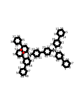 c1ccc(-c2ccc(N(c3ccc(-c4ccccc4)cc3)c3ccc(-c4ccc(N(c5ccc(-c6ccccc6)cc5)c5ccc(-c6ccccc6)cc5-c5ccccc5)cc4)cc3)cc2)cc1